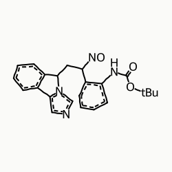 CC(C)(C)OC(=O)Nc1ccccc1C(CC1c2ccccc2-c2cncn21)N=O